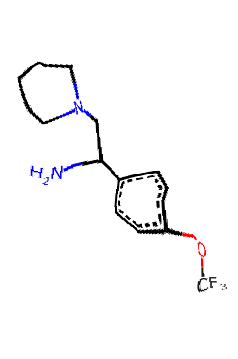 NC(CN1CCCC1)c1ccc(OC(F)(F)F)cc1